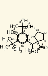 CC(c1cc(C(C)(C)C)c(O)c(C(C)(C)C)c1)C1(C(=O)O)CCCC1